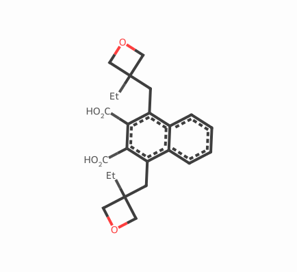 CCC1(Cc2c(C(=O)O)c(C(=O)O)c(CC3(CC)COC3)c3ccccc23)COC1